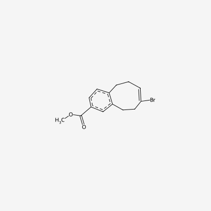 COC(=O)c1ccc2c(c1)CC/C(Br)=C\CC2